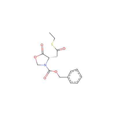 CCSC(=O)C[C@H]1C(=O)OCN1C(=O)OCc1ccccc1